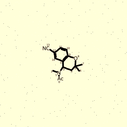 CC(=O)N(C)C1CC(C)(C)Oc2ccc(C#N)cc21